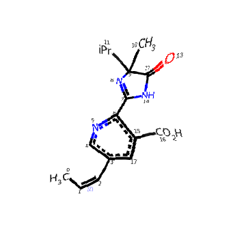 C/C=C\c1cnc(C2=NC(C)(C(C)C)C(=O)N2)c(C(=O)O)c1